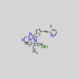 CC(C)(C)Nc1c(-c2ccc(C#Cc3ncccc3F)s2)nc2cnccn12.Cl